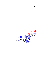 CCNCc1cncc(-c2ccc3[nH]nc(-c4ncc(C(=O)NC(CO)c5cccnc5)[nH]4)c3c2)c1CC